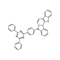 C1=CC2C(c3ccccc3N2c2ccc(-c3nc(-c4ccccc4)nc(-c4ccccc4)n3)cc2)c2sc3ccccc3c21